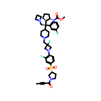 CC#CC(=O)N1CC[C@@H](S(=O)(=O)c2ccc(N3CC(F)(CN4CCC([C@@](CN5CCC5)(c5cccc(F)c5)[C@H]5CCC[C@@H]5NC(=O)OC)CC4)C3)c(F)c2)C1